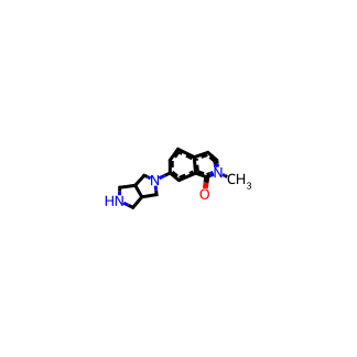 Cn1ccc2ccc(N3CC4CNCC4C3)cc2c1=O